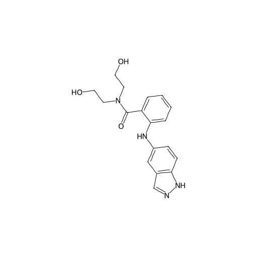 O=C(c1ccccc1Nc1ccc2[nH]ncc2c1)N(CCO)CCO